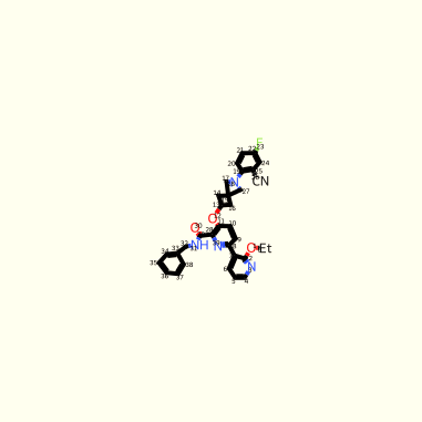 CCOc1ncccc1-c1ccc(OC2CC3(C2)CN(c2ccc(F)cc2C#N)C3)c(C(=O)NCc2ccccc2)n1